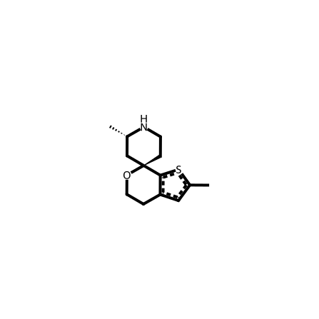 Cc1cc2c(s1)[C@]1(CCN[C@@H](C)C1)OCC2